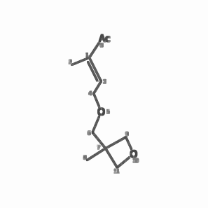 CC(=O)/C(C)=C/COCC1(C)COC1